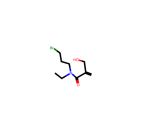 C=C(CO)C(=O)N(CC)CCCBr